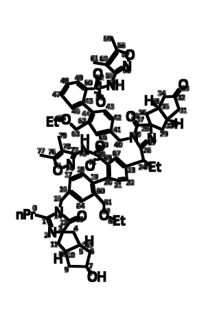 CCCC1=NC2(C[C@H]3CC(O)C[C@H]3C2)C(=O)N1Cc1ccc(-c2ccc(C(CC)C3=NC4(C[C@H]5CC(=O)C[C@H]5C4)C(=O)N3Cc3ccc(-c4ccccc4S(=O)(=O)Nc4noc(C)c4C)c(COCC)c3)cc2S(=O)(=O)Nc2noc(C)c2C)c(COCC)c1